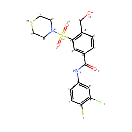 O=C(Nc1ccc(F)c(F)c1)c1ccc(CO)c(S(=O)(=O)N2CCSCC2)c1